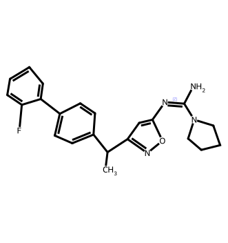 CC(c1ccc(-c2ccccc2F)cc1)c1cc(/N=C(/N)N2CCCC2)on1